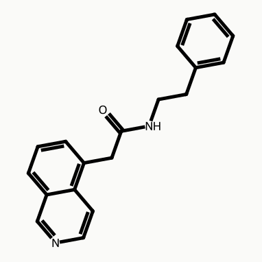 O=C(Cc1cccc2cnccc12)NCCc1ccccc1